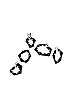 c1cc[nH]c1.c1ccccc1.c1ccncc1.c1ccoc1.c1ccsc1